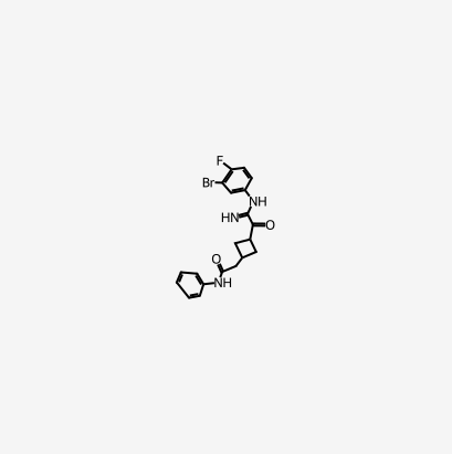 N=C(Nc1ccc(F)c(Br)c1)C(=O)C1CC(CC(=O)Nc2ccccc2)C1